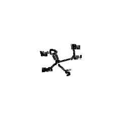 CCC(C)NP(=O)([S-])OC.[Na+]